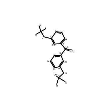 CC(C)(C)Cc1cccc(C(=O)c2cccc(CC(C)(C)C)c2)c1